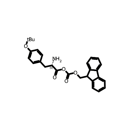 CC(C)(C)Oc1ccc(C[C@H](N)C(=O)OC(=O)OCC2c3ccccc3-c3ccccc32)cc1